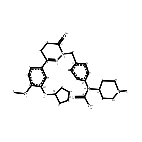 COc1ccc(C2=NN(Cc3ccc(N(C(=O)O)C4CCN(C)CC4)cc3)C(=O)CC2)cc1OC1CCCC1